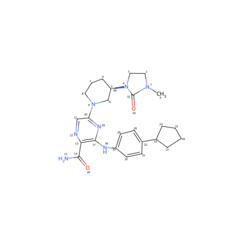 CN1CCN([C@@H]2CCCN(c3cnc(C(N)=O)c(Nc4ccc(C5CCCC5)cc4)n3)C2)C1=O